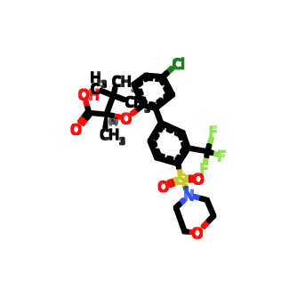 CC(C)(C)[C@](C)(Oc1ccc(Cl)cc1-c1ccc(S(=O)(=O)N2CCOCC2)c(C(F)(F)F)c1)C(=O)O